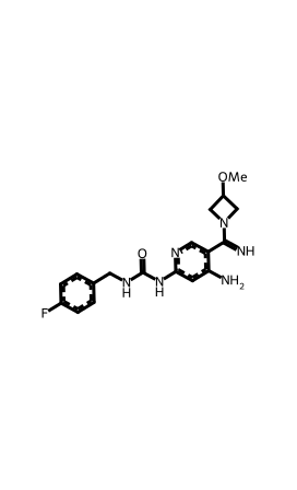 COC1CN(C(=N)c2cnc(NC(=O)NCc3ccc(F)cc3)cc2N)C1